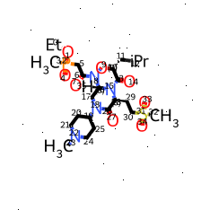 CCOP(C)(=O)CC(=O)N1O[C@H](CC(C)C)C(=O)N2[C@@H]1CN(C1CCN(C)CC1)C(=O)[C@@H]2CCS(C)(=O)=O